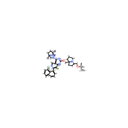 CC(C)(C)[Si](C)(C)OCC1CCC2(COc3nc(N4C[C@H]5CC[C@@H](C4)N5)c4cnc(-c5cccc6cccc(Cl)c56)c(F)c4n3)CCCN12